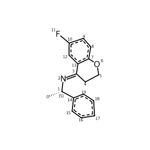 C[C@H](N=C1CCOc2ccc(F)cc21)c1ccccc1